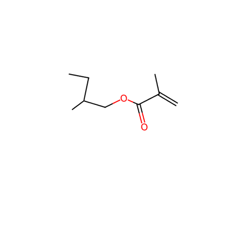 C=C(C)C(=O)OCC(C)CC